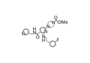 COC(=O)N1CCN(c2ccc(C(=O)NCc3cccnc3)c(NCCc3cccc(F)c3)n2)CC1